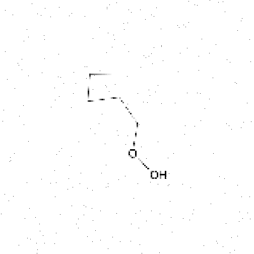 OOCC1CCC1